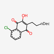 CCCCCCCCCCCCC1=C(O)C(=O)c2c(Cl)cccc2C1=O